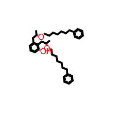 CC(Cc1cccc(O)c1CC(C)OCCCCCCCc1ccccc1)OCCCCCCCc1ccccc1